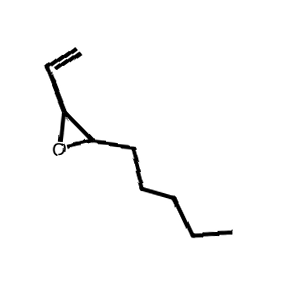 C=CC1OC1CCCCC